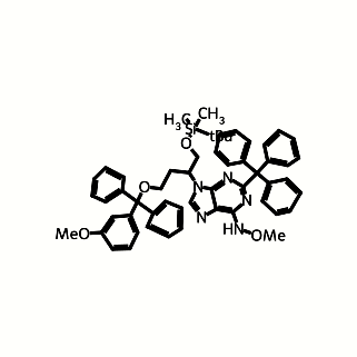 CONc1nc(C(c2ccccc2)(c2ccccc2)c2ccccc2)nc2c1ncn2C(CCOC(c1ccccc1)(c1ccccc1)c1cccc(OC)c1)CO[Si](C)(C)C(C)(C)C